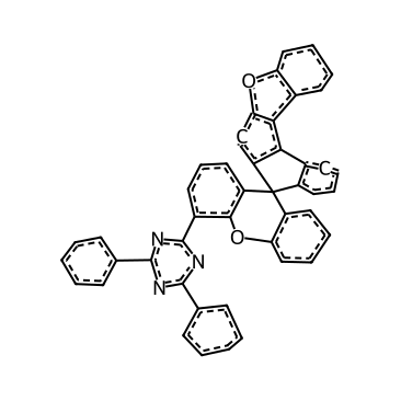 c1ccc(-c2nc(-c3ccccc3)nc(-c3cccc4c3Oc3ccccc3C43c4ccccc4-c4c3ccc3oc5ccccc5c43)n2)cc1